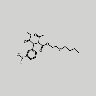 CCCCOCCOC(=O)C(C(C)=O)C(C(=O)CC)c1cccc([N+](=O)[O-])c1